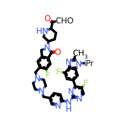 Cc1nc2c(F)cc(-c3nc(Nc4ccc(CN5CCN(Cc6cc7c(cc6F)C(=O)N(C6CCC(C(=O)C=O)NC6)C7)CC5)cn4)ncc3F)cc2n1C(C)C